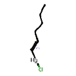 CCCC/C=[CH]/[Hg][Cl]